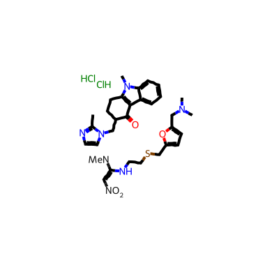 CN/C(=C/[N+](=O)[O-])NCCSCc1ccc(CN(C)C)o1.Cc1nccn1CC1CCc2c(c3ccccc3n2C)C1=O.Cl.Cl